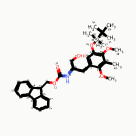 COc1c(CC(CO)NC(=O)OCC2c3ccccc3-c3ccccc32)cc(O[Si](C)(C)C(C)(C)C)c(OC)c1C